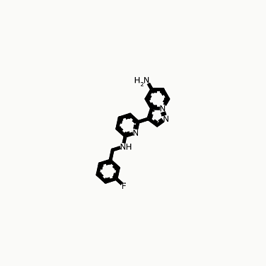 Nc1ccn2ncc(-c3cccc(NCc4cccc(F)c4)n3)c2c1